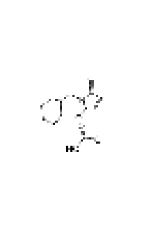 O=C(O)O.O=C1C=CC(=O)N1CC1CCCCC1